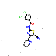 N#Cc1sc(NC(=O)c2ccc(Cl)c(Cl)c2)nc1-c1ccccn1